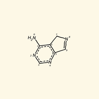 Nc1ncnc2c1CN=C2